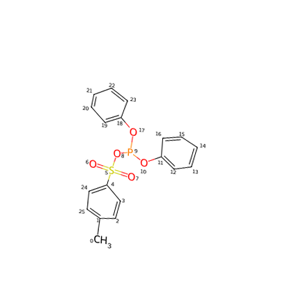 Cc1ccc(S(=O)(=O)OP(Oc2ccccc2)Oc2ccccc2)cc1